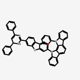 C1=C(c2ccccc2)N=C(c2ccc3c(c2)oc2cc(-n4c5ccccc5c5ccc6c7ccccc7n(-c7ccccc7)c6c54)ccc23)NC1c1ccccc1